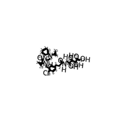 O=C(CCc1ccc(Cl)c(CNC2(C(=O)N3CCN(C4CC4)c4ccccc43)CC2)c1)NC[C@H](O)[C@@H](O)[C@H](O)[C@H](O)CO